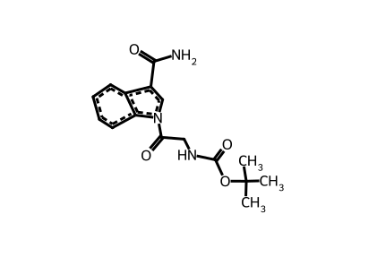 CC(C)(C)OC(=O)NCC(=O)n1cc(C(N)=O)c2ccccc21